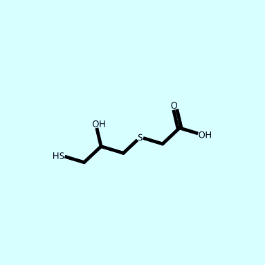 O=C(O)CSCC(O)CS